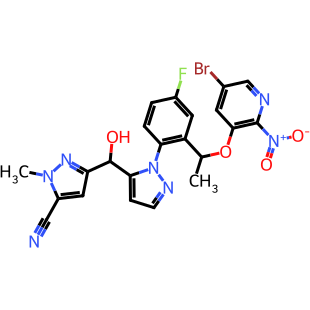 CC(Oc1cc(Br)cnc1[N+](=O)[O-])c1cc(F)ccc1-n1nccc1C(O)c1cc(C#N)n(C)n1